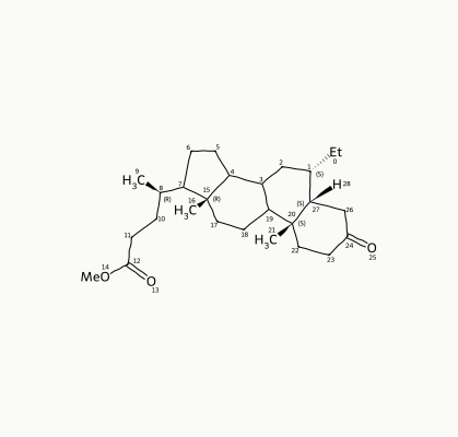 CC[C@H]1CC2C3CCC([C@H](C)CCC(=O)OC)[C@@]3(C)CCC2[C@@]2(C)CCC(=O)C[C@@H]12